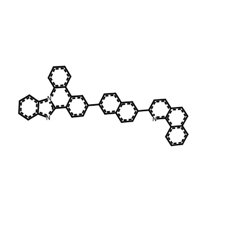 c1ccc2c(c1)ccc1ccc(-c3ccc4cc(-c5ccc6c(c5)c5ccccc5n5c7ccccc7nc65)ccc4c3)nc12